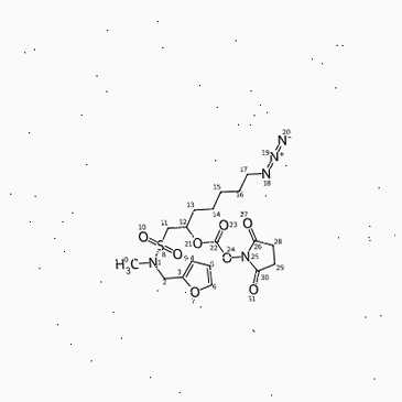 CN(Cc1ccco1)S(=O)(=O)CC(CCCCCN=[N+]=[N-])OC(=O)ON1C(=O)CCC1=O